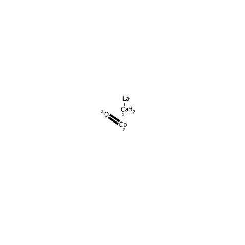 [CaH2].[La].[O]=[Co]